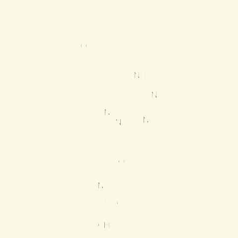 C=CC(=O)N1CCCC2(CC(n3nc(-c4ccc(Oc5ccccc5)cc4)c4c(N)ncnc43)CO2)C1